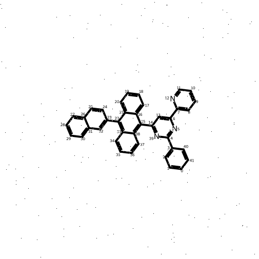 c1ccc(-c2nc(-c3ccccn3)cc(-c3c4ccccc4c(-c4ccc5ccccc5c4)c4ccccc34)n2)cc1